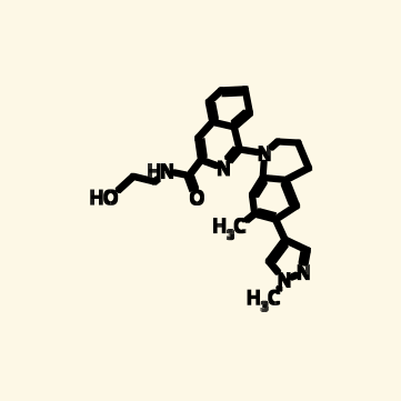 Cc1cc2c(cc1-c1cnn(C)c1)CCCN2c1nc(C(=O)NCCO)cc2ccccc12